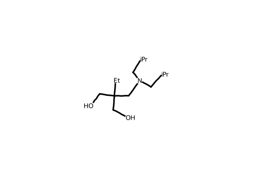 CCC(CO)(CO)CN(CC(C)C)CC(C)C